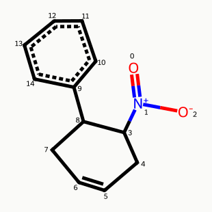 O=[N+]([O-])C1CC=CCC1c1ccccc1